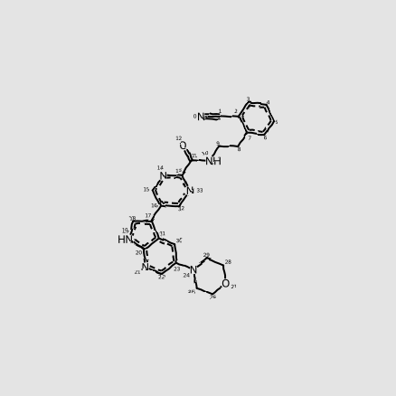 N#Cc1ccccc1CCNC(=O)c1ncc(-c2c[nH]c3ncc(N4CCOCC4)cc23)cn1